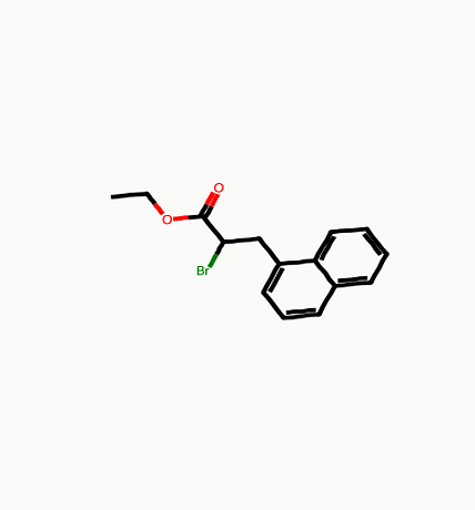 CCOC(=O)C(Br)Cc1cccc2ccccc12